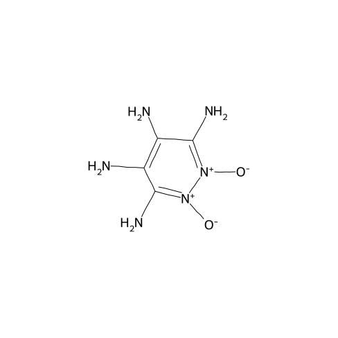 Nc1c(N)c(N)[n+]([O-])[n+]([O-])c1N